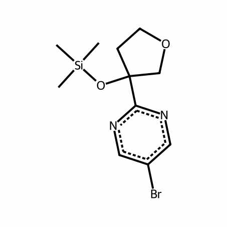 C[Si](C)(C)OC1(c2ncc(Br)cn2)CCOC1